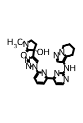 CN1CC[C@@](O)(c2cn(-c3cccc(-c4ccnc(Nc5cnn6c5CCCC6)n4)n3)nn2)C1=O